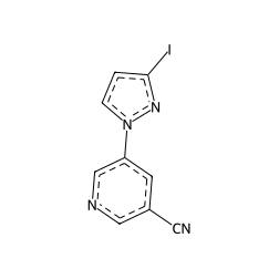 N#Cc1cncc(-n2ccc(I)n2)c1